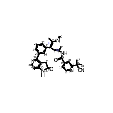 C=N/C(C)=C(\C=C(/C)NC(=O)c1ccnc(C(C)(C)C#N)c1)c1cccc(-c2ncnc3c2CC(=O)N3)c1